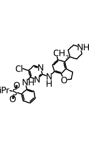 Cc1cc(Nc2ncc(Cl)c(Nc3ccccc3S(=O)(=O)C(C)C)n2)c2c(c1C1CCNCC1)CCO2